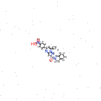 O=C(c1cc2nc(-c3ccc([N+](=O)O)cc3)cc(C(F)(F)F)n2n1)N1CCc2ccccc2C1